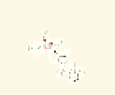 CCc1ccc(O)cc1C12CCN(CC3CC3)C(C)C13CCC1C2[C@@H](CN1C(=O)c1cccc(=O)[nH]1)C3